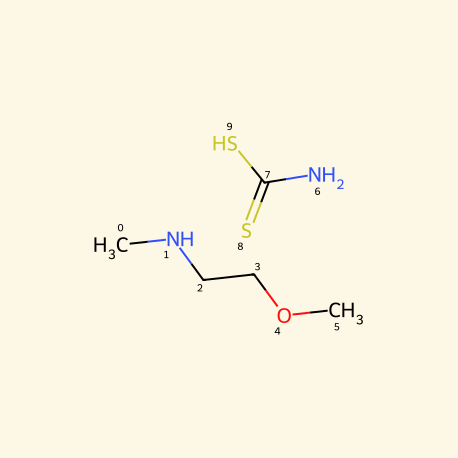 CNCCOC.NC(=S)S